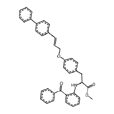 COC(=O)C(Cc1ccc(OCC=Cc2ccc(-c3ccccc3)cc2)cc1)Nc1ccccc1C(=O)c1ccccc1